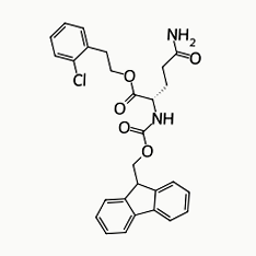 NC(=O)CC[C@H](NC(=O)OCC1c2ccccc2-c2ccccc21)C(=O)OCCc1ccccc1Cl